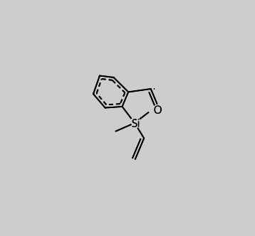 C=C[Si](C)(C)c1ccccc1[C]=O